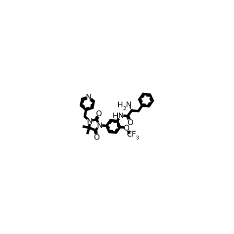 CC1(C)C(=O)N(c2ccc(OC(F)(F)F)c(NC(=O)[C@H](N)Cc3ccccc3)c2)C(=O)N1Cc1ccncc1